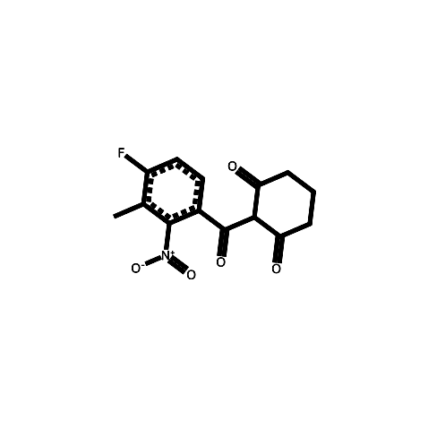 Cc1c(F)ccc(C(=O)C2C(=O)CCCC2=O)c1[N+](=O)[O-]